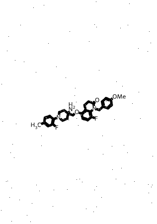 COc1ccc(CN2C(=O)CCc3c(OCC4(N)CCN(c5ccc(C)cc5F)CC4)ccc(F)c32)cc1